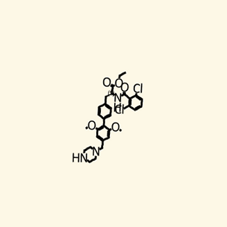 CCOC(=O)[C@H](Cc1ccc(-c2c(OC)cc(CN3CCNCC3)cc2OC)cc1)NC(=O)c1c(Cl)cccc1Cl